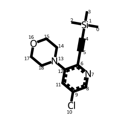 C[Si](C)(C)C#Cc1ncc(Cl)cc1N1CCOCC1